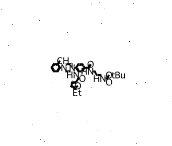 CCc1ccc(C(=O)Nc2cc(C(=O)NCCCNC(=O)OC(C)(C)C)ccc2N2CCN(c3ccccc3C)CC2)o1